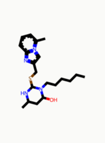 CCCCCCN1C(O)CC(C)NC1SCc1cn2c(C)cccc2n1